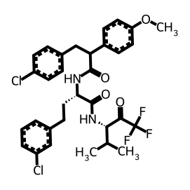 COc1ccc(C(Cc2ccc(Cl)cc2)C(=O)N[C@@H](CCc2cccc(Cl)c2)C(=O)N[C@H](C(=O)C(F)(F)F)C(C)C)cc1